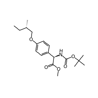 CC[C@H](C)COc1ccc([C@@H](NC(=O)OC(C)(C)C)C(=O)OC)cc1